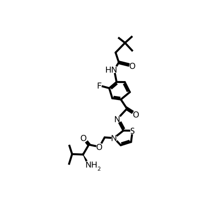 CC(C)[C@H](N)C(=O)OCn1ccs/c1=N\C(=O)c1ccc(NC(=O)CC(C)(C)C)c(F)c1